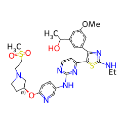 CCNc1nc(-c2cc(OC)cc(C(C)O)c2)c(-c2ccnc(Nc3ccc(O[C@H]4CCN(CCS(C)(=O)=O)C4)nc3)n2)s1